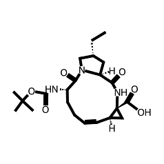 CC[C@@H]1C[C@H]2C(=O)N[C@]3(C(=O)O)C[C@H]3/C=C\CC[C@H](NC(=O)OC(C)(C)C)C(=O)N2C1